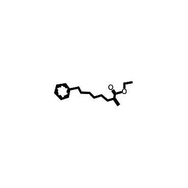 C=C(CCCCCCc1ccccc1)C(=O)OCC